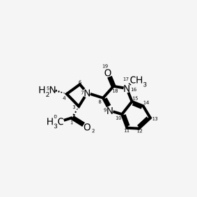 CC(=O)[C@@H]1[C@H](N)CN1c1nc2ccccc2n(C)c1=O